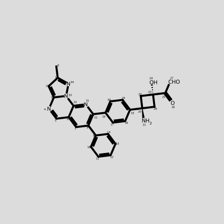 Cc1cc2ncc3cc(-c4ccccc4)c(-c4ccc([C@]5(N)C[C@@](O)(C(=O)C=O)C5)cc4)nc3n2n1